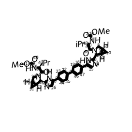 COC(=O)N[C@H](C(=O)N1C[C@@H]2C[C@@H]2C1c1ncc(-c2ccc(-c3ccc(-c4cnc([C@@H]5[C@H]6C[C@H]6CN5C(=O)[C@@H](NC(=O)OC)C(C)C)[nH]4)cc3)cc2)[nH]1)C(C)C